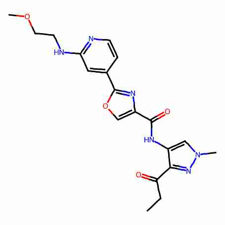 CCC(=O)c1nn(C)cc1NC(=O)c1coc(-c2ccnc(NCCOC)c2)n1